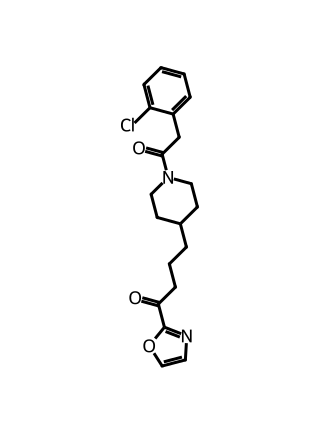 O=C(CCCC1CCN(C(=O)Cc2ccccc2Cl)CC1)c1ncco1